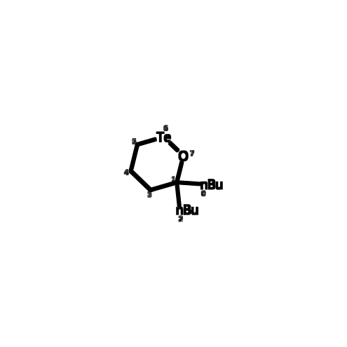 CCCCC1(CCCC)CCC[Te]O1